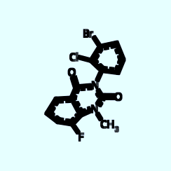 Cn1c(=O)n(-c2cccc(Br)c2Cl)c(=O)c2cccc(F)c21